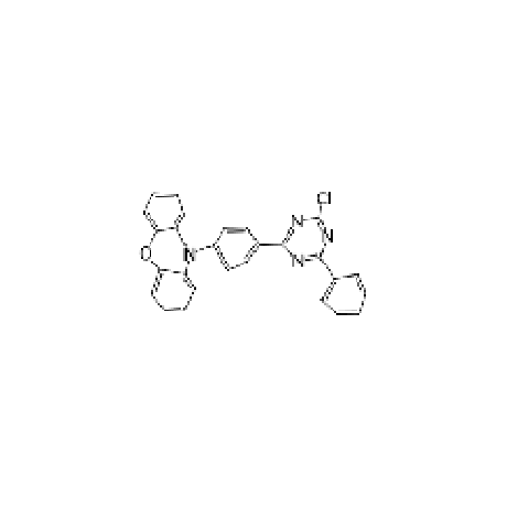 Clc1nc(-c2ccccc2)nc(-c2ccc(N3c4ccccc4Oc4ccccc43)cc2)n1